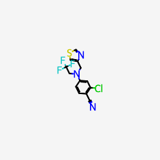 N#Cc1ccc(N(Cc2cscn2)CC(F)(F)F)cc1Cl